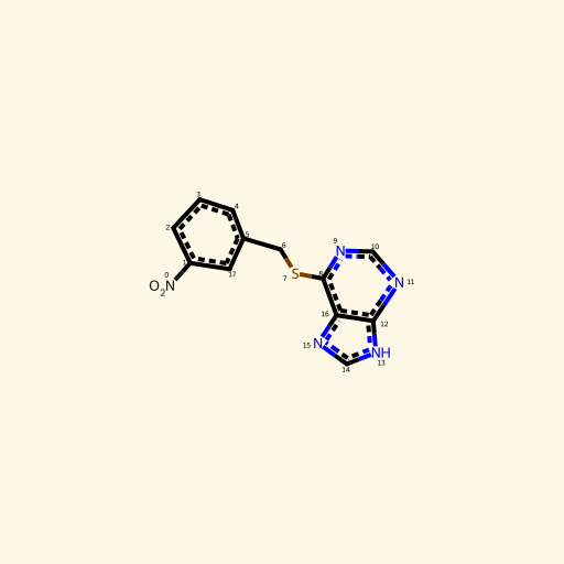 O=[N+]([O-])c1cccc(CSc2ncnc3[nH]cnc23)c1